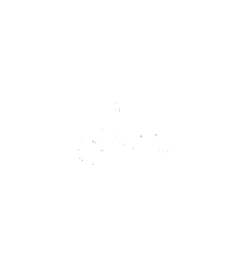 CN1CCN(Cc2ccc(CC=O)cc2C(F)(F)F)CC1